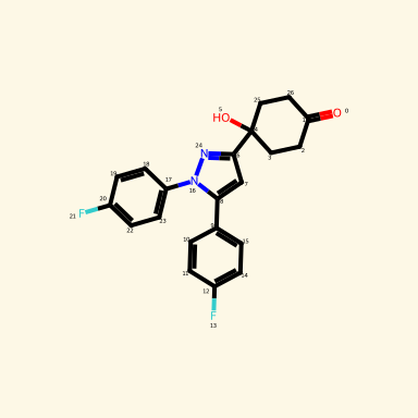 O=C1CCC(O)(c2cc(-c3ccc(F)cc3)n(-c3ccc(F)cc3)n2)CC1